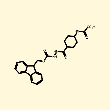 O=C(NNC(=O)C1CCC(NC(=O)C(=O)O)CC1)OCC1c2ccccc2-c2ccccc21